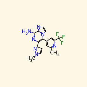 Cc1cc(-c2c(-c3ccn(C)n3)nc(N)c3nccn23)cc(C(F)(F)F)n1